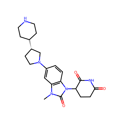 Cn1c(=O)n(C2CCC(=O)NC2=O)c2ccc(N3CC[C@H](C4CCNCC4)C3)cc21